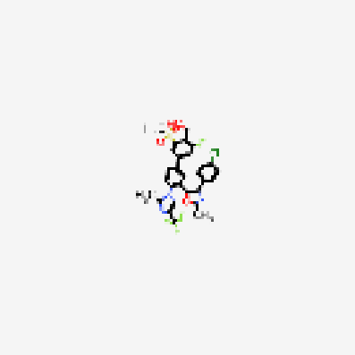 Cc1nc(-c2ccc(Cl)cc2)c(-c2cc(-c3cc(F)c(CO)c(S(C)(=O)=O)c3)ccc2-n2cc(C(F)(F)F)nc2C)o1